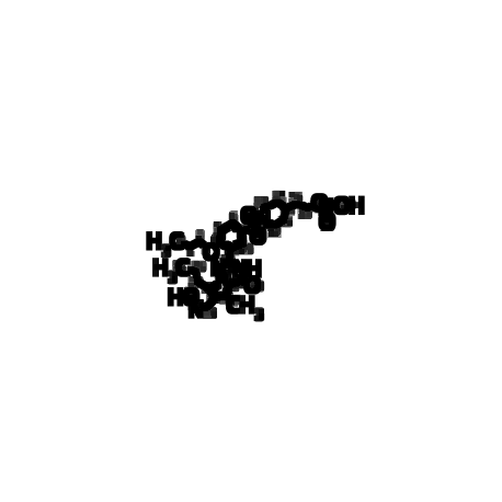 CCCOc1ccc(S(=O)(=O)N2CCC(CCO[N+](=O)O)CC2)cc1-c1nn2c(CCC)c(/C=N\O)c(C)c2c(=O)[nH]1